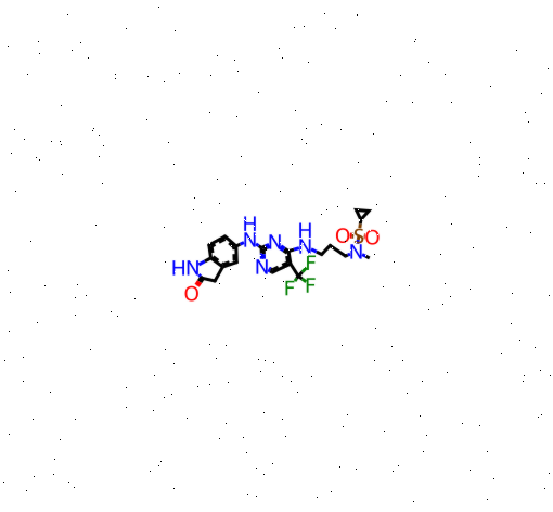 CN(CCCNc1nc(Nc2ccc3c(c2)CC(=O)N3)ncc1C(F)(F)F)S(=O)(=O)C1CC1